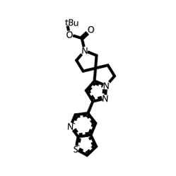 CC(C)(C)OC(=O)N1CCC2(CCn3nc(-c4cnc5sccc5c4)cc32)C1